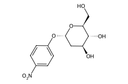 O=[N+]([O-])c1ccc(O[C@H]2C[C@H](O)[C@@H](O)[C@H](CO)O2)cc1